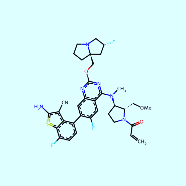 C=CC(=O)N1CC[C@@H](N(C)c2nc(OC[C@@]34CCCN3C[C@H](F)C4)nc3cc(-c4ccc(F)c5sc(N)c(C#N)c45)c(F)cc23)[C@@H]1COC